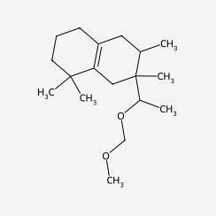 COCOC(C)C1(C)CC2=C(CCCC2(C)C)CC1C